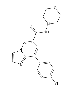 O=C(NN1CCOCC1)c1cc(-c2ccc(Cl)cc2)c2nccn2c1